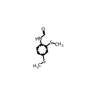 CSc1ccc(NC=O)c(SC)c1